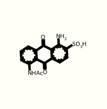 CC(=O)Nc1cccc2c1C(=O)c1ccc(S(=O)(=O)O)c(N)c1C2=O